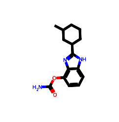 CC1CCCC(c2nc3c(OC(N)=O)cccc3[nH]2)C1